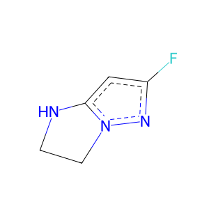 Fc1cc2n(n1)CCN2